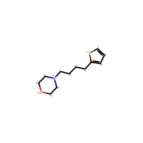 c1csc(CCCCN2CCOCC2)c1